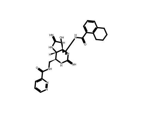 N=C1N[C@H]2[C@H](CNC(=O)c3cccnn3)NC(=N)N3CC(NC(=O)c4cccc5c4CCCC5)[C@@H](O)[C@]23N1